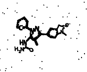 Cc1c(-c2ccc3c(c2)C[S+]([O-])N3C)nn(-c2ccccc2)c1NC(N)=O